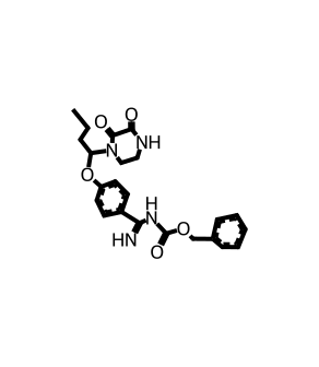 CCCC(Oc1ccc(C(=N)NC(=O)OCc2ccccc2)cc1)N1CCNC(=O)C1=O